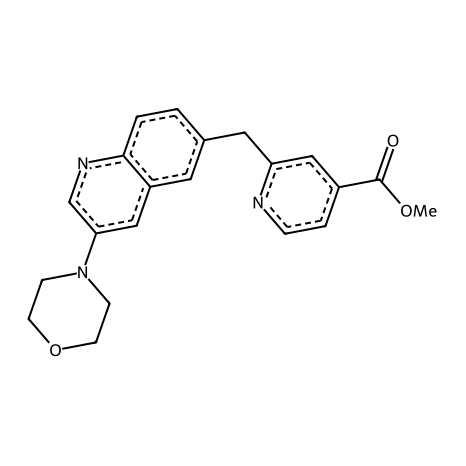 COC(=O)c1ccnc(Cc2ccc3ncc(N4CCOCC4)cc3c2)c1